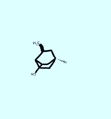 C=C1C[C@H]2CCC1C(O)C2